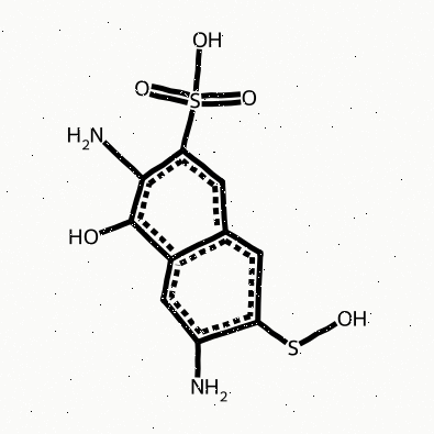 Nc1cc2c(O)c(N)c(S(=O)(=O)O)cc2cc1SO